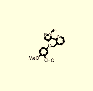 COc1ccc(OCc2cccnc2-c2ccnn2C(C)C)cc1C=O